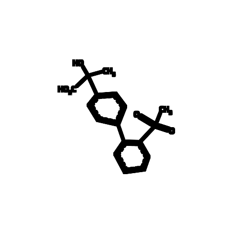 CC(O)(C(=O)O)c1ccc(-c2ccccc2S(C)(=O)=O)cc1